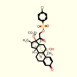 CCOC(=O)O[C@]1(C(=O)COS(=O)(=O)c2ccc(Cl)cc2)[C@H](C)C[C@H]2[C@@H]3CCC4=CC(=O)C=C[C@]4(C)[C@@]3(F)[C@@H](O)C[C@@]21C